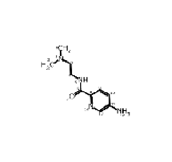 CN(C)CCNC(=O)c1ccc(N)cn1